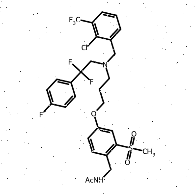 CC(=O)NCc1ccc(OCCCN(Cc2cccc(C(F)(F)F)c2Cl)CC(F)(F)c2ccc(F)cc2)cc1S(C)(=O)=O